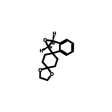 c1ccc2c(c1)[C@H]1O[C@H]1C21CCC2(CC1)OCCO2